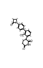 O=C1CCC(c2cccc(-c3ccc(N4CCC4=O)cc3)c2Cl)C(=O)N1